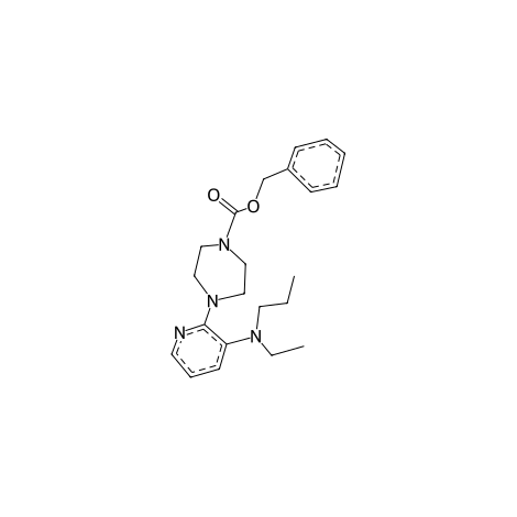 CCCN(CC)c1cccnc1N1CCN(C(=O)OCc2ccccc2)CC1